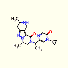 CC(c1cn(C2CC2)c(=O)cn1)N1C[C@@H](C)n2nc3c(c2C1=O)CN[C@H](C)C3